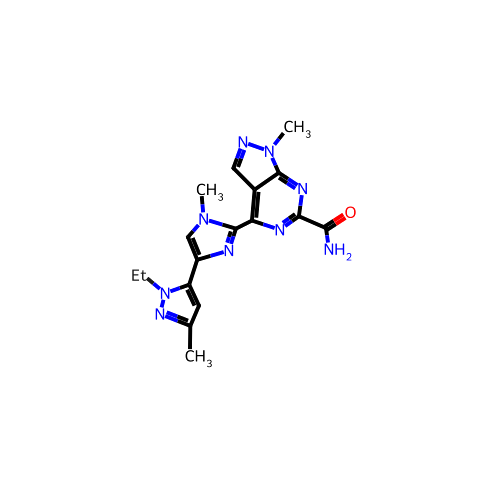 CCn1nc(C)cc1-c1cn(C)c(-c2nc(C(N)=O)nc3c2cnn3C)n1